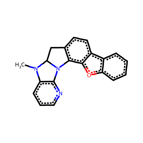 CN1c2cccnc2N2c3c(ccc4c3oc3ccccc34)CC12